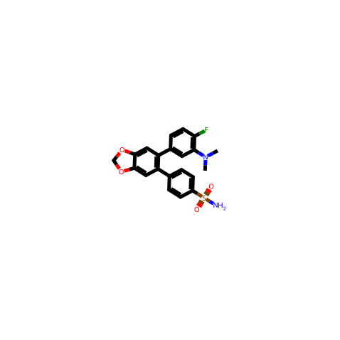 CN(C)c1cc(-c2cc3c(cc2-c2ccc(S(N)(=O)=O)cc2)OCO3)ccc1F